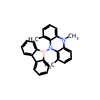 Cc1cccc2c1N(B1c3ccccc3-c3ccccc31)c1c(C)cccc1N2C